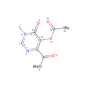 COC(=O)c1ncn(C)c(=O)c1OC(=O)C(C)(C)C